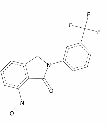 O=Nc1cccc2c1C(=O)N(c1cccc(C(F)(F)F)c1)C2